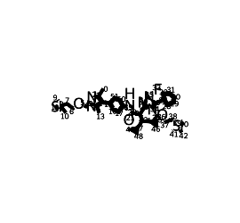 Cc1nn(COCC[Si](C)(C)C)c(C)c1-c1ccc(NC(=O)C(c2nnc(-c3ccccc3F)n2COCC[Si](C)(C)C)C(C2CC2)C2CC2)cc1